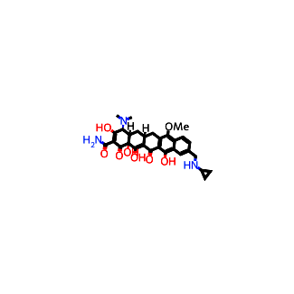 COc1c2c(c(O)c3cc(CNC4CC4)ccc13)C(=O)C1=C(O)[C@]3(O)C(=O)C(C(N)=O)=C(O)[C@@H](N(C)C)[C@@H]3C[C@@H]1C2